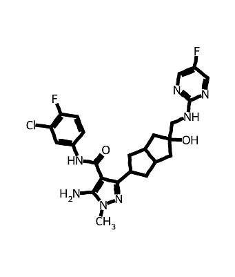 Cn1nc(C2CC3CC(O)(CNc4ncc(F)cn4)CC3C2)c(C(=O)Nc2ccc(F)c(Cl)c2)c1N